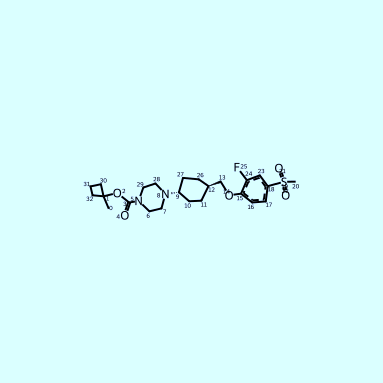 CC1(OC(=O)N2CCN([C@H]3CC[C@H](COc4ccc(S(C)(=O)=O)cc4F)CC3)CC2)CCC1